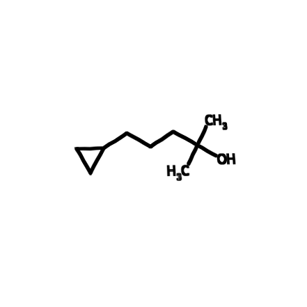 CC(C)(O)CCCC1CC1